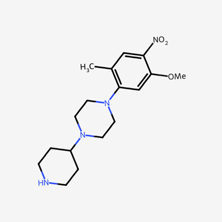 COc1cc(N2CCN(C3CCNCC3)CC2)c(C)cc1[N+](=O)[O-]